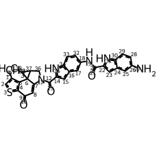 Cc1csc2c1C13C(=CC2=O)N(C(=O)c2cc4cc(NC(=O)c5cc6cc(N)ccc6[nH]5)ccc4[nH]2)CC1[C@@H]3C